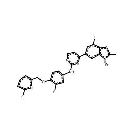 Cc1nc2c(F)cc(-c3ccnc(Nc4ccc(OCc5cccc(Cl)n5)c(Cl)c4)n3)cc2n1C(C)C